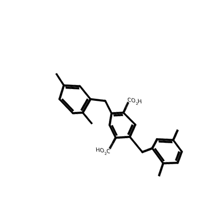 Cc1ccc(C)c(Cc2cc(C(=O)O)c(Cc3cc(C)ccc3C)cc2C(=O)O)c1